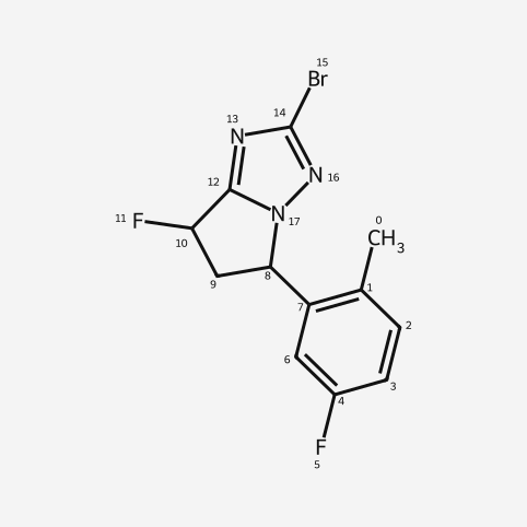 Cc1ccc(F)cc1C1CC(F)c2nc(Br)nn21